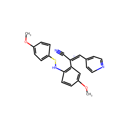 COc1ccc(SNc2ccc(OC)cc2/C(C#N)=C\c2ccncc2)cc1